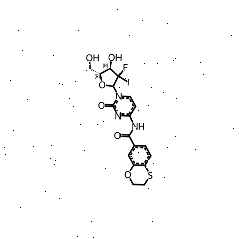 O=C(Nc1ccn(C2O[C@H](CO)[C@@H](O)C2(F)I)c(=O)n1)c1ccc2c(c1)OCCS2